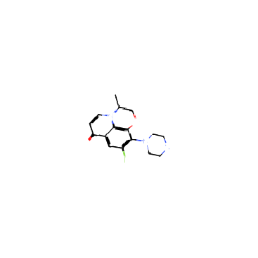 CC1COc2c(N3CCNCC3)c(F)cc3c(=O)ccn1c23